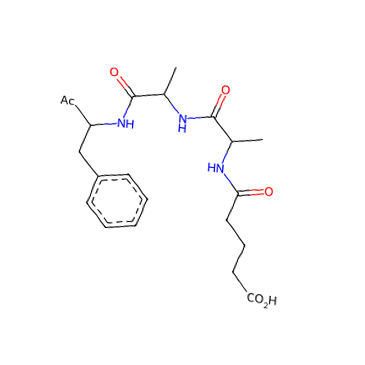 CC(=O)C(Cc1ccccc1)NC(=O)C(C)NC(=O)C(C)NC(=O)CCCC(=O)O